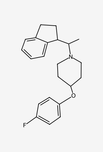 CC(C1CCc2ccccc21)N1CCC(Oc2ccc(F)cc2)CC1